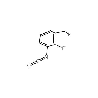 O=C=Nc1cccc(CF)c1F